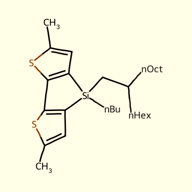 CCCCCCCCC(CCCCCC)C[Si]1(CCCC)c2cc(C)sc2-c2sc(C)cc21